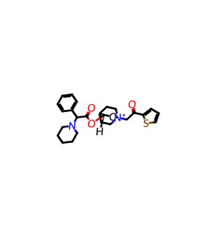 O=C(C[N+]12CCC(CC1)[C@@H](OC(=O)C(c1ccccc1)N1CCCCC1)C2)c1cccs1